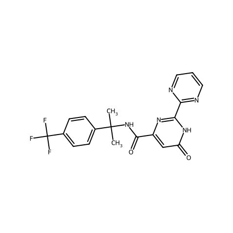 CC(C)(NC(=O)c1cc(=O)[nH]c(-c2ncccn2)n1)c1ccc(C(F)(F)F)cc1